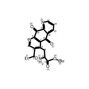 CCC(=O)c1cnc2c(c1CC(N)C(=O)OC(C)(C)C)C(=O)c1cccnc1C2=O